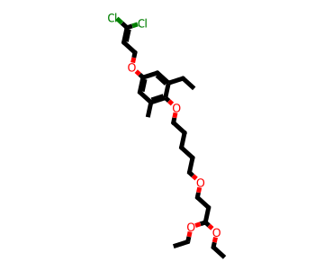 CCOC(CCOCCCCCOc1c(C)cc(OCC=C(Cl)Cl)cc1CC)OCC